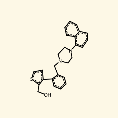 OCc1sccc1-c1ccccc1CN1CCN(c2cccc3ccccc23)CC1